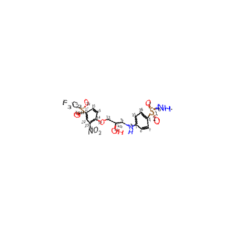 [NH]S(=O)(=O)c1ccc(NCC(O)COc2ccc(S(=O)(=O)C(F)(F)F)cc2[N+](=O)[O-])cc1